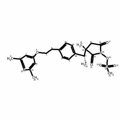 Cc1cc(OCCc2ccc([C@@H](C)[C@]3(C)CC(=O)N(OS(C)(=O)=O)C3=O)cc2)cc(C)n1